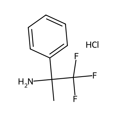 CC(N)(c1ccccc1)C(F)(F)F.Cl